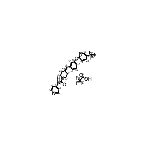 O=C(Nc1ccncc1)N1CCC(=Cc2cccc(Oc3ccc(C(F)(F)F)cn3)c2)CC1.O=C(O)C(F)(F)F